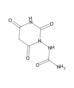 NC(=O)NN1C(=O)CC(=O)NC1=O